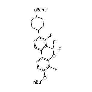 CCCCCC1CCC(c2ccc3c(c2F)C(F)(F)Oc2c-3ccc(OCCCC)c2F)CC1